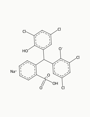 O=S(=O)(O)c1ccccc1C(c1cc(Cl)cc(Cl)c1[O-])c1cc(Cl)cc(Cl)c1O.[Na+]